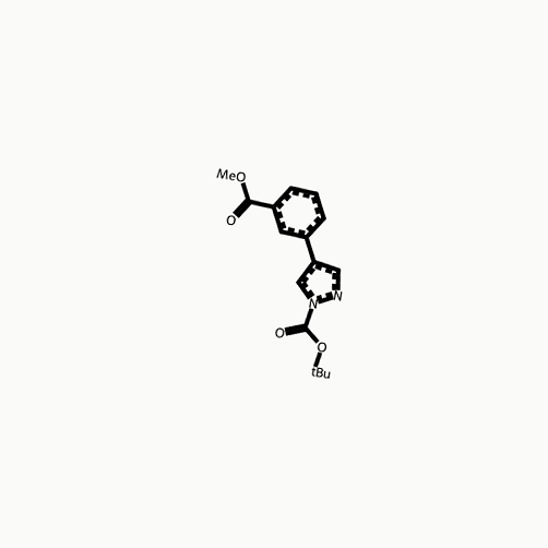 COC(=O)c1cccc(-c2cnn(C(=O)OC(C)(C)C)c2)c1